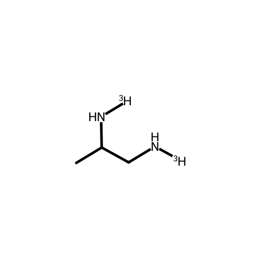 [3H]NCC(C)N[3H]